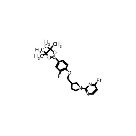 CCc1ccnc(N2CCC(COc3ccc(B4OC(C)(C)C(C)(C)O4)cc3F)C2)n1